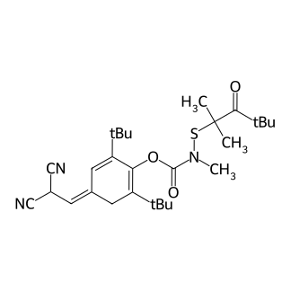 CN(SC(C)(C)C(=O)C(C)(C)C)C(=O)OC1=C(C(C)(C)C)CC(=CC(C#N)C#N)C=C1C(C)(C)C